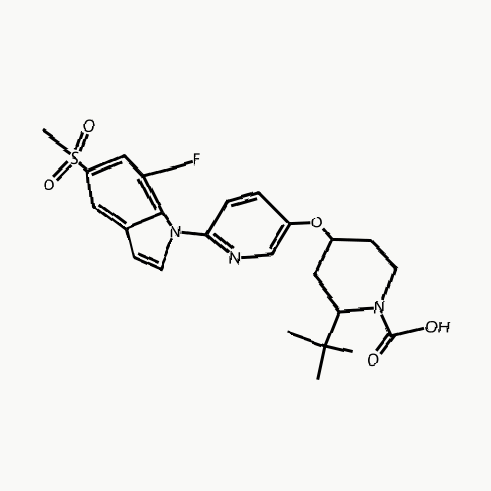 CC(C)(C)C1CC(Oc2ccc(-n3ccc4cc(S(C)(=O)=O)cc(F)c43)nc2)CCN1C(=O)O